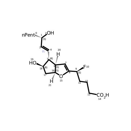 CCCCC[C@H](O)/C=C/[C@@H]1[C@H]2C=C([C@@H](F)CCCC(=O)O)O[C@H]2C[C@H]1O